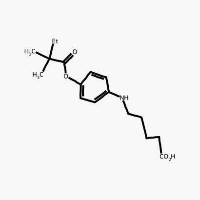 CCC(C)(C)C(=O)Oc1ccc(NCCCCC(=O)O)cc1